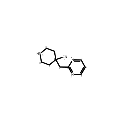 N#CC1(Cc2ncccn2)CCNCC1